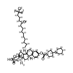 C[C@]12CC[C@@H]3c4ccc(OC(=O)N5CCC(N6CCCCC6)CC5)cc4C[C@@H](CCCCCCCCC[S+]([O-])CCCC(F)(F)C(F)(F)F)[C@H]3[C@@H]1CC[C@@H]2OP(=O)(O)O